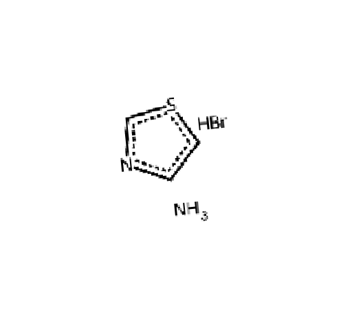 Br.N.c1cscn1